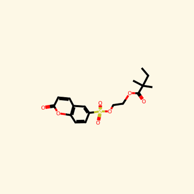 CCC(C)(C)C(=O)OCCOS(=O)(=O)c1ccc2oc(=O)ccc2c1